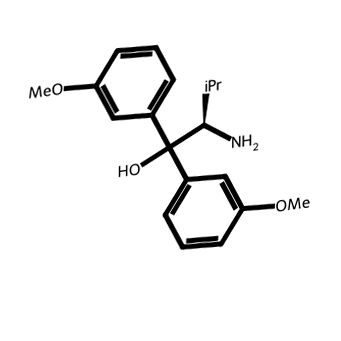 COc1cccc(C(O)(c2cccc(OC)c2)[C@H](N)C(C)C)c1